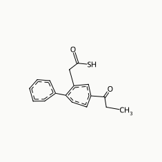 CCC(=O)c1ccc(-c2ccccc2)c(CC(=O)S)c1